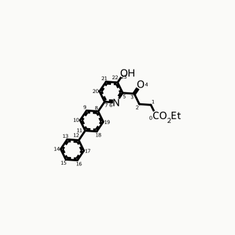 CCOC(=O)CCC(=O)c1nc(-c2ccc(-c3ccccc3)cc2)ccc1O